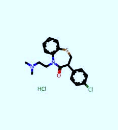 CN(C)CCN1C(=O)C(c2ccc(Cl)cc2)CSc2ccccc21.Cl